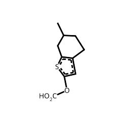 CC1CCc2cc(OC(=O)O)sc2C1